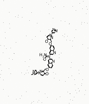 Cn1cc(-n2ccc(=O)c(COc3ccc4ncc(N(C(N)=O)c5cnc6ccc(OCc7nn(-c8cnn(C)c8)ccc7=O)cc6c5)cc4c3)n2)cn1